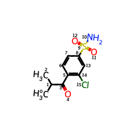 CC(C)C(=O)c1ccc(S(N)(=O)=O)cc1Cl